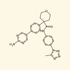 Cc1nnnn1-c1ccc(NC(=O)C2(c3ccc(-c4cnc(N)nc4)cc3)CCOCC2)cc1